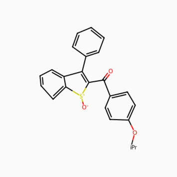 CC(C)Oc1ccc(C(=O)c2c(-c3ccccc3)c3ccccc3[s+]2[O-])cc1